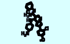 COc1ccc(-c2cc3c(NC4CCC(N)CC4)c(/C(N)=N/c4ccccc4Cl)cnn3c2)c(Cl)c1